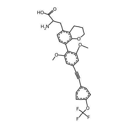 COc1cc(C#Cc2ccc(OC(F)(F)F)cc2)cc(OC)c1-c1ccc(CC(N)C(=O)O)c2c1OCCC2